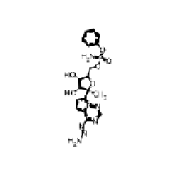 C[C@@]1(c2ccc3c(N=NN)ncnn23)O[C@H](COP(N)(=O)Oc2ccccc2)[C@@H](O)[C@H]1O